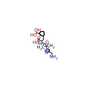 CC(C)(C(=O)N[C@H]1Cc2cccc(C(O)O)c2OB1O)n1cc(CN)nn1